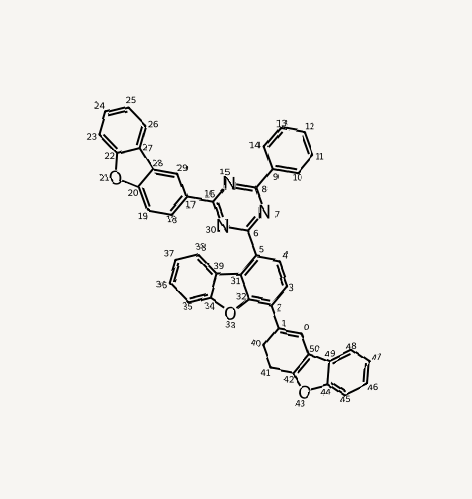 C1=C(c2ccc(-c3nc(-c4ccccc4)nc(-c4ccc5oc6ccccc6c5c4)n3)c3c2oc2ccccc23)CCc2oc3ccccc3c21